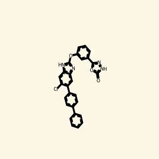 O=c1[nH]nc(-c2cccc(Oc3nc4cc(-c5ccc(-c6ccccc6)cc5)c(Cl)cc4[nH]3)c2)o1